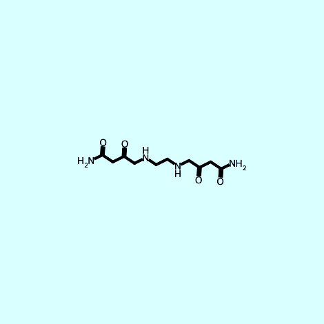 NC(=O)CC(=O)CNCCNCC(=O)CC(N)=O